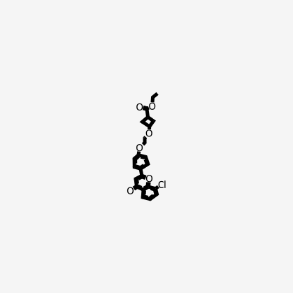 CCOC(=O)C1CC(OCCOc2ccc(-c3cc(=O)c4cccc(Cl)c4o3)cc2)C1